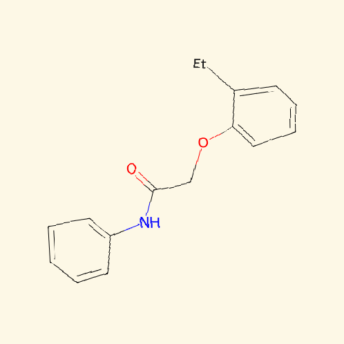 CCc1ccccc1OCC(=O)Nc1ccccc1